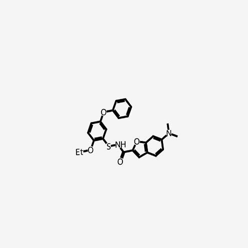 CCOc1ccc(Oc2ccccc2)cc1SNC(=O)c1cc2ccc(N(C)C)cc2o1